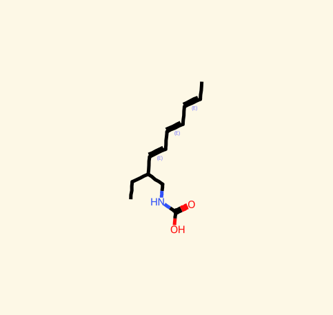 C/C=C/C=C/C=C/C(CC)CNC(=O)O